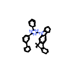 CC1(C)c2ccccc2-c2cc3c4ccccc4n(-c4nc(-c5ccccc5)nc(-c5cccc(-c6ccccc6)c5)n4)c3cc21